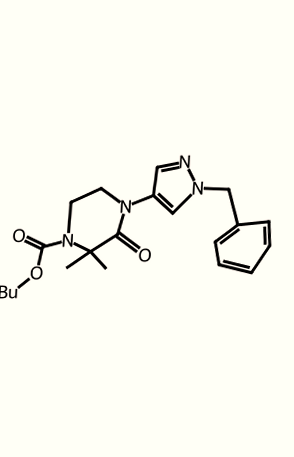 CC(C)(C)OC(=O)N1CCN(c2cnn(Cc3ccccc3)c2)C(=O)C1(C)C